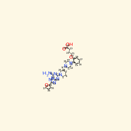 Nc1nc(N2CCC[C@@H](CN3CCN(c4ccccc4OCCCC(=O)O)CC3)C2)nc2nc(-c3ccco3)nn12